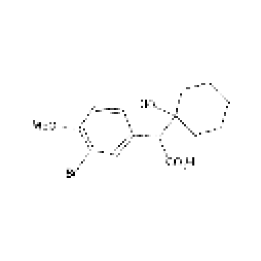 COc1ccc(C(C(=O)O)C2(O)CCCCC2)cc1Br